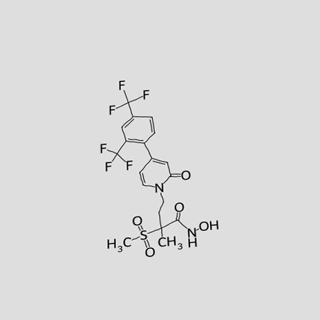 CC(CCn1ccc(-c2ccc(C(F)(F)F)cc2C(F)(F)F)cc1=O)(C(=O)NO)S(C)(=O)=O